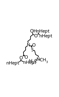 CCCCCCCC(CCCCCCC)OC(=O)CCCN(CCCC(O)OC(CCCCCCC)CCCCCCC)C(=O)SCCCN(C)C